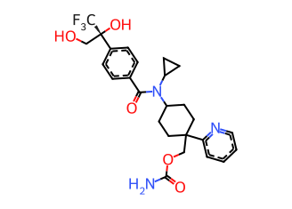 NC(=O)OCC1(c2ccccn2)CCC(N(C(=O)c2ccc([C@@](O)(CO)C(F)(F)F)cc2)C2CC2)CC1